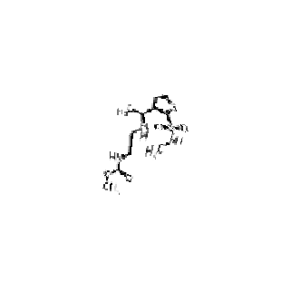 CNS(=O)(=O)c1sccc1C(C)NCCNC(=O)OC